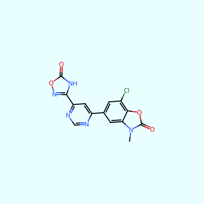 Cn1c(=O)oc2c(Cl)cc(-c3cc(-c4noc(=O)[nH]4)ncn3)cc21